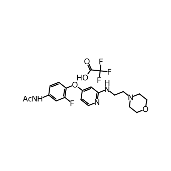 CC(=O)Nc1ccc(Oc2ccnc(NCCN3CCOCC3)c2)c(F)c1.O=C(O)C(F)(F)F